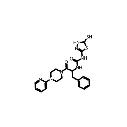 O=C(NC1=NNC(S)S1)NC(Cc1ccccc1)C(=O)N1CCN(c2ccccn2)CC1